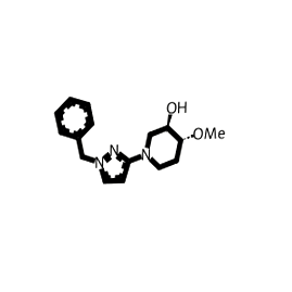 CO[C@@H]1CCN(c2ccn(Cc3ccccc3)n2)C[C@H]1O